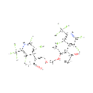 CC(=O)/C(=C\[O][Cu][O]/C(C)=C(\C(C)=O)c1c(F)c(F)nc(C(F)(F)F)c1F)c1c(F)c(F)nc(C(F)(F)F)c1F